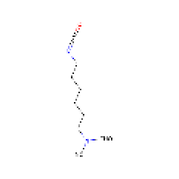 N#CN(C=O)CCCCCCN=C=O